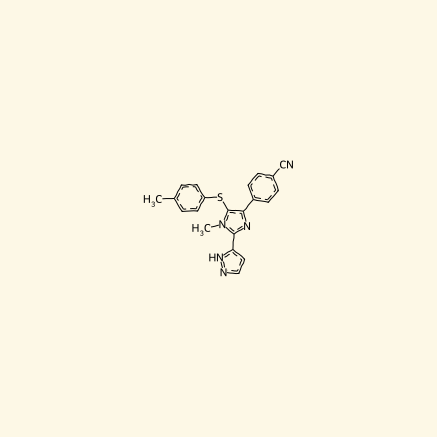 Cc1ccc(Sc2c(-c3ccc(C#N)cc3)nc(-c3ccn[nH]3)n2C)cc1